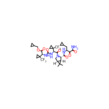 CC1(C)[C@@H]2[C@@H](C(=O)NC(CC3CC3)C(=O)C(N)=O)N(C(=O)[C@@H](NC(=O)N[C@H](C(=O)OCC3CC3)C3(C(F)(F)F)CC3)C3(C(F)(F)F)CC3)C[C@@H]21